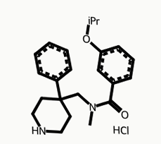 CC(C)Oc1cccc(C(=O)N(C)CC2(c3ccccc3)CCNCC2)c1.Cl